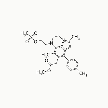 COC(=O)Cc1c(C)c2c3c(cc(C)n3CCN2CCOS(C)(=O)=O)c1-c1ccc(C)cc1